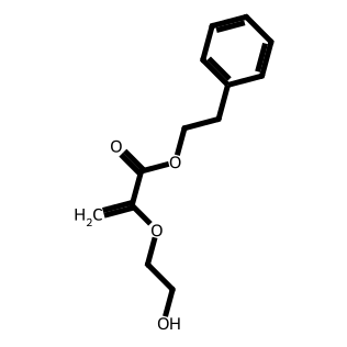 C=C(OCCO)C(=O)OCCc1ccccc1